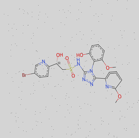 COC1=NC(c2nnc(NS(=O)(=O)C[C@@H](O)c3ccc(Br)cn3)n2-c2c(O)cccc2OC)=C=C=C1